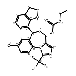 CCOC(=O)C[C@H]1S[C@H](c2cccc3c2OCC3)c2cc(Cl)ccc2-n2c1nnc2C(F)(F)F